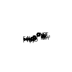 O=c1[nH]ncc(N[C@H]2CCC[C@@H](Cn3ccc4cc(-c5ncc(C(F)F)cn5)c(F)c(F)c4c3=O)C2)c1C(F)(F)F